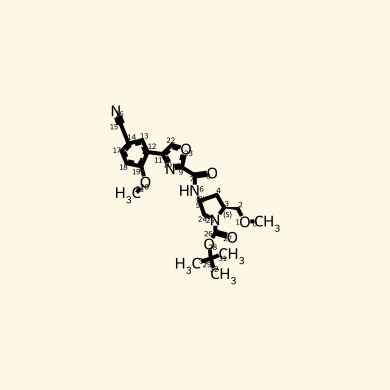 COC[C@@H]1C[C@@H](NC(=O)c2nc(-c3cc(C#N)ccc3OC)co2)CN1C(=O)OC(C)(C)C